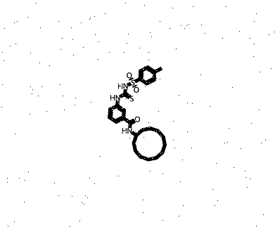 Cc1ccc(S(=O)(=O)NC(=S)Nc2cccc(C(=O)NC3CCCCCCCCCCC3)c2)cc1